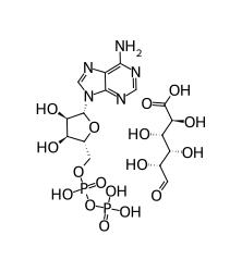 Nc1ncnc2c1ncn2[C@@H]1O[C@H](COP(=O)(O)OP(=O)(O)O)[C@@H](O)[C@H]1O.O=C[C@H](O)[C@@H](O)[C@H](O)[C@H](O)C(=O)O